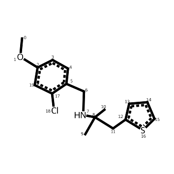 COc1ccc(CNC(C)(C)Cc2cccs2)c(Cl)c1